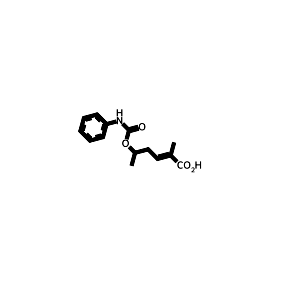 CC(=CCC(C)OC(=O)Nc1ccccc1)C(=O)O